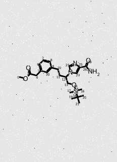 COC(=O)Cc1cccc(CCC(CO[Si](C)(C)C(C)(C)C)n2cnc(C(N)=O)c2)c1